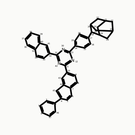 c1ccc(-c2ccc3ccc(-c4nc(-c5ccc(C6C7CC8CC(C7)CC6C8)cc5)nc(-c5ccc6ccccc6c5)n4)cc3c2)cc1